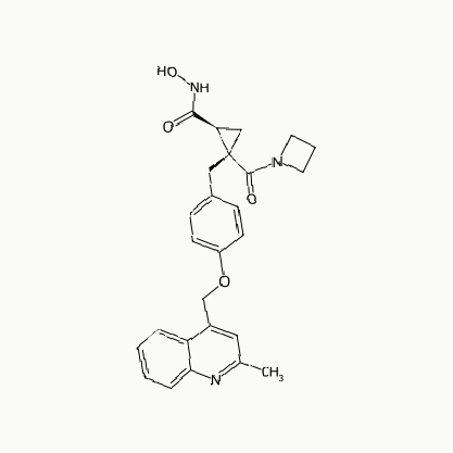 Cc1cc(COc2ccc(C[C@]3(C(=O)N4CCC4)C[C@@H]3C(=O)NO)cc2)c2ccccc2n1